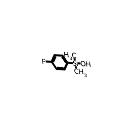 C[Si](C)(O)c1ccc(F)cc1